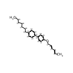 CC=CC=CCOc1ccc(-c2ccc(CCCCCCC)cc2)cc1